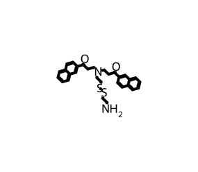 NCCSSCCN(CCC(=O)c1ccc2ccccc2c1)CCC(=O)c1ccc2ccccc2c1